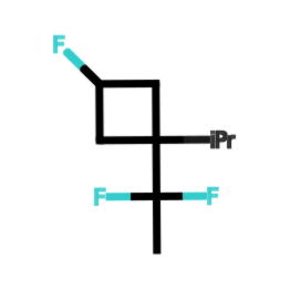 CC(C)C1(C(C)(F)F)CC(F)C1